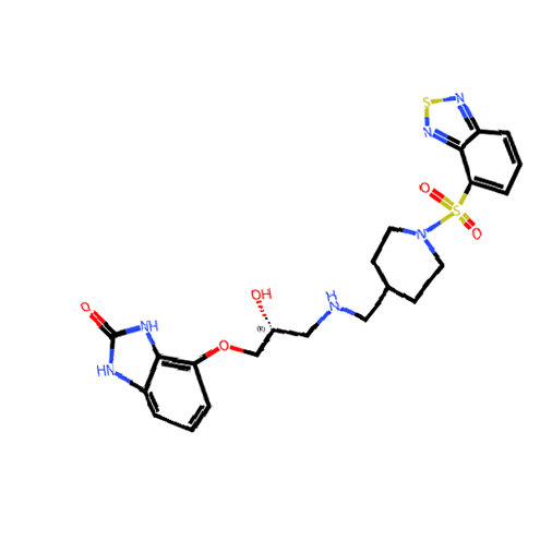 O=c1[nH]c2cccc(OC[C@H](O)CNCC3CCN(S(=O)(=O)c4cccc5nsnc45)CC3)c2[nH]1